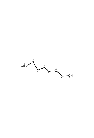 CCCCOCCCOCO